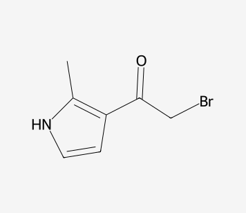 Cc1[nH]ccc1C(=O)CBr